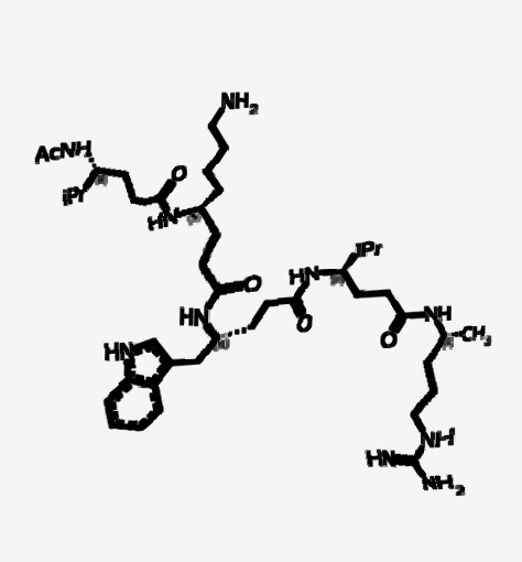 CC(=O)N[C@H](CCC(=O)N[C@@H](CCCCN)CCC(=O)N[C@H](CCC(=O)N[C@H](CCC(=O)N[C@H](C)CCCNC(=N)N)C(C)C)Cc1c[nH]c2ccccc12)C(C)C